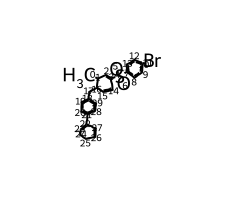 CC1C=C(S(=O)(=O)c2ccc(Br)cc2)C=CC1Cc1ccc(C2=CCCC=C2)cc1